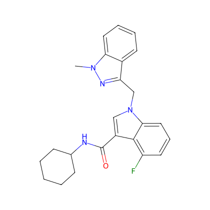 Cn1nc(Cn2cc(C(=O)NC3CCCCC3)c3c(F)cccc32)c2ccccc21